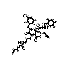 C#CCN1CC(=O)N2[C@@H](CCCNC(=O)OCC=C)C(=O)N(Cc3cccc(Cl)c3)C[C@@H]2N1C(=O)NCc1ccccc1